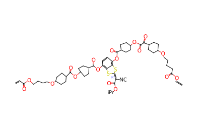 [C-]#[N+]/C(C(=O)OC(C)C)=C1\Sc2c(OC(=O)C3CCC(OC(=O)C(=O)C4CCC(OCCCCC(=O)OC=C)CC4)CC3)ccc(OC(=O)C3CCC(OC(=O)C4CCC(OCCCCOC(=O)C=C)CC4)CC3)c2S1